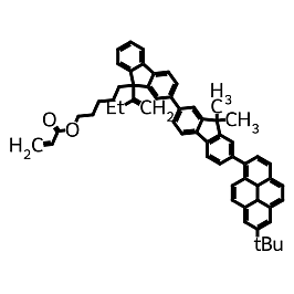 C=CC(=O)OCCCCCC1(C(=C)CC)c2ccccc2-c2ccc(-c3ccc4c(c3)C(C)(C)c3cc(C5=C6C=CC7=CC(C(C)(C)C)=CC8=CC=C(C=C5)C6C87)ccc3-4)cc21